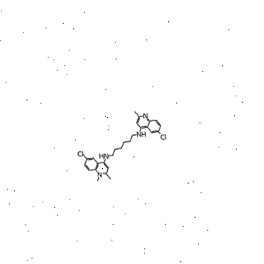 Cc1cc(NCCCCCCNc2cc(C)[n+](C)c3ccc(Cl)cc23)c2cc(Cl)ccc2n1